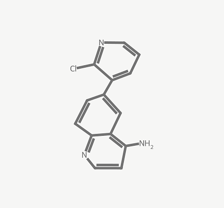 Nc1ccnc2ccc(-c3cccnc3Cl)cc12